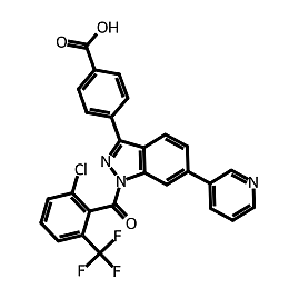 O=C(O)c1ccc(-c2nn(C(=O)c3c(Cl)cccc3C(F)(F)F)c3cc(-c4cccnc4)ccc23)cc1